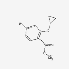 COC(=O)c1ccc(Br)cc1OC1CC1